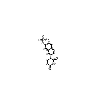 O=C1CCC(c2ccc3ccc(OS(=O)(=O)F)cc3c2)C(=O)N1